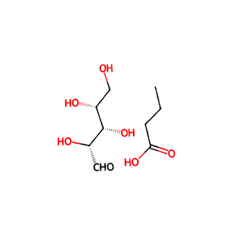 CCCC(=O)O.O=C[C@H](O)[C@@H](O)[C@H](O)CO